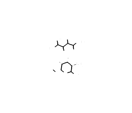 CC(=O)OC1O[C@H](CO)[C@@H](O)[C@H](O)[C@H]1N.CC(O)C(O)C(O)C(O)C=O